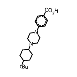 CC(C)(C)C1CCC(N2CCN(c3ccc(C(=O)O)cc3)CC2)CC1